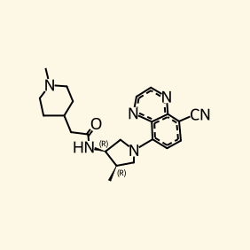 C[C@@H]1CN(c2ccc(C#N)c3nccnc23)C[C@@H]1NC(=O)CC1CCN(C)CC1